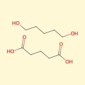 O=C(O)CCCC(=O)O.OCCCCCO